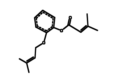 CC(C)=CCOc1ccccc1OC(=O)C=C(C)C